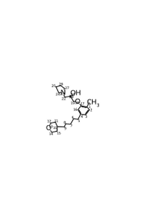 Cc1ccc(CCCCCC2CCOCC2)cc1OC[C@H](O)CN1CCCC1